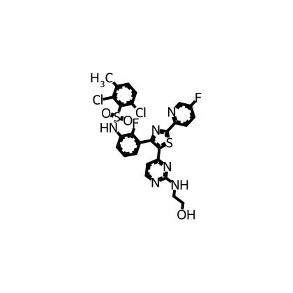 Cc1ccc(Cl)c(S(=O)(=O)Nc2cccc(-c3nc(-c4ccc(F)cn4)sc3-c3ccnc(NCCO)n3)c2F)c1Cl